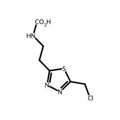 O=C(O)NCCc1nnc(CCl)s1